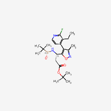 CCc1c(-c2c(C)noc2[C@H](CC(=O)OC(C)(C)C)N[S@+]([O-])C(C)(C)C)ccnc1F